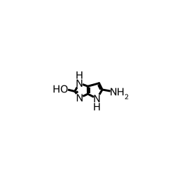 Nc1cc2[nH]c(O)nc2[nH]1